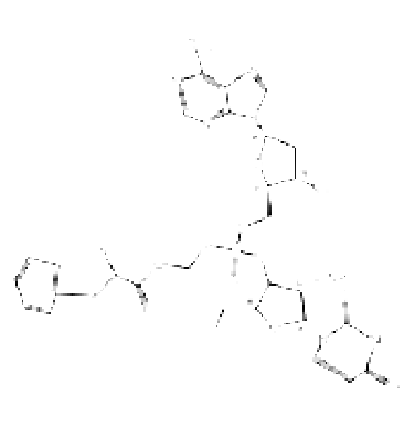 CO[C@H]1C(OP(=O)(OC[C@H]2O[C@@H](n3cnc4c(N)ncnc43)C[C@H]2O)SCOC(=O)C(N)Cc2ccccc2)[C@@H](CO)O[C@H]1n1ccc(=O)[nH]c1=O